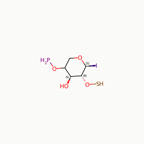 O[C@H]1C(OP)CO[C@@H](I)[C@@H]1OS